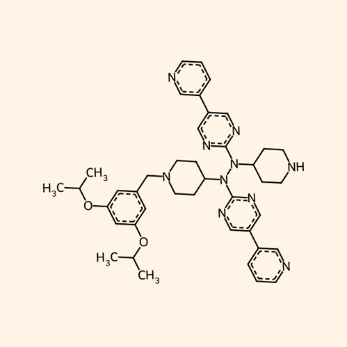 CC(C)Oc1cc(CN2CCC(N(c3ncc(-c4cccnc4)cn3)N(c3ncc(-c4cccnc4)cn3)C3CCNCC3)CC2)cc(OC(C)C)c1